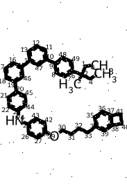 CCC(C)(CC)c1ccc(-c2cccc(-c3cccc(-c4ccc(Nc5ccc(OCCCCc6ccc7c(c6)CC7)cc5)cc4)c3)c2)cc1